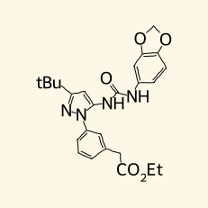 CCOC(=O)Cc1cccc(-n2nc(C(C)(C)C)cc2NC(=O)Nc2ccc3c(c2)OCO3)c1